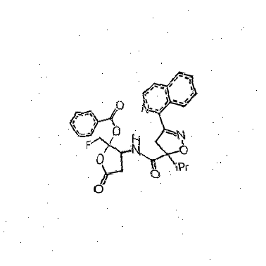 CC(C)C1(C(=O)NC2CC(=O)OC2(CF)OC(=O)c2ccccc2)CC(c2nccc3ccccc23)=NO1